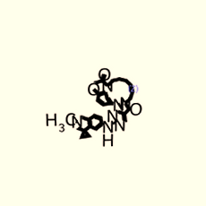 CN1Cc2ccc(Nc3ncc4c(=O)n5n(c4n3)-c3ccc4c(c3)N(CCC/C=C\C5)C(=O)CO4)cc2C2(CC2)C1